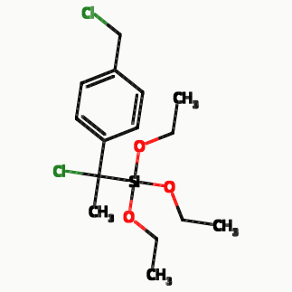 CCO[Si](OCC)(OCC)C(C)(Cl)c1ccc(CCl)cc1